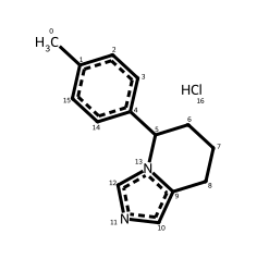 Cc1ccc(C2CCCc3cncn32)cc1.Cl